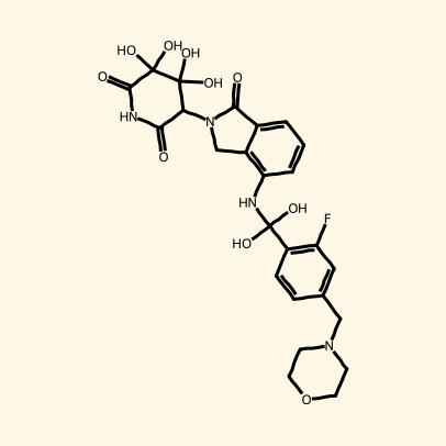 O=C1NC(=O)C(O)(O)C(O)(O)C1N1Cc2c(NC(O)(O)c3ccc(CN4CCOCC4)cc3F)cccc2C1=O